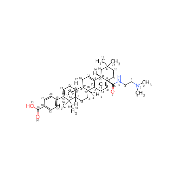 CN(C)CCNC(=O)[C@]12CCC(C)(C)C[C@H]1C1=CC[C@@H]3[C@@]4(C)CC=C(c5ccc(C(=O)O)cc5)C(C)(C)[C@H]4CC[C@@]3(C)[C@]1(C)CC2